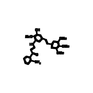 COc1cc(C=Cc2cc(O)c(OC)c(NC=CC(=O)c3ccccc3N)c2)cc(OC)c1OC